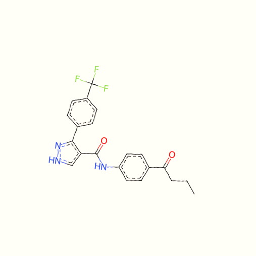 CCCC(=O)c1ccc(NC(=O)c2c[nH]nc2-c2ccc(C(F)(F)F)cc2)cc1